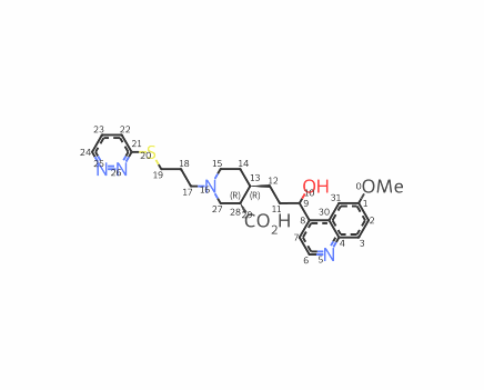 COc1ccc2nccc(C(O)CC[C@@H]3CCN(CCCSc4cccnn4)C[C@@H]3C(=O)O)c2c1